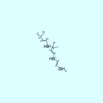 BC=CBC=CC(C)(C)BC=CC(C)C